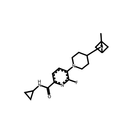 CC12CC(C1)N(C1CCN(c3ccc(C(=O)NC4CC4)nc3F)CC1)C2